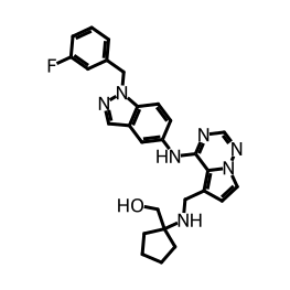 OCC1(NCc2ccn3ncnc(Nc4ccc5c(cnn5Cc5cccc(F)c5)c4)c23)CCCC1